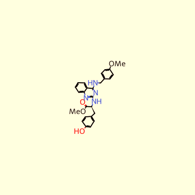 COC(=O)[C@H](Cc1ccc(O)cc1)Nc1nc(NCc2ccc(OC)cc2)c2ccccc2n1